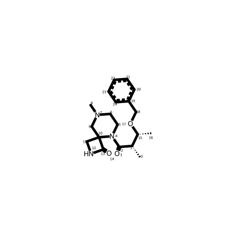 C[C@H](C(=O)N1CCN(C)CC12CNC2=O)[C@@H](C)OCc1ccccc1